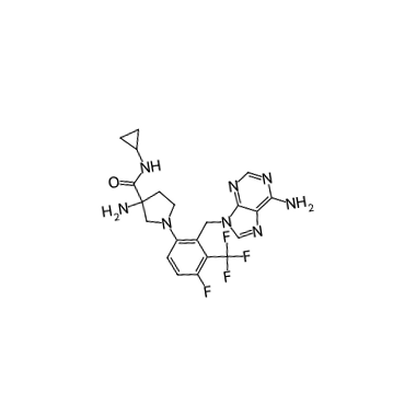 Nc1ncnc2c1ncn2Cc1c(N2CCC(N)(C(=O)NC3CC3)C2)ccc(F)c1C(F)(F)F